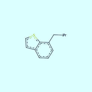 CC(C)Cc1cccc2ccsc12